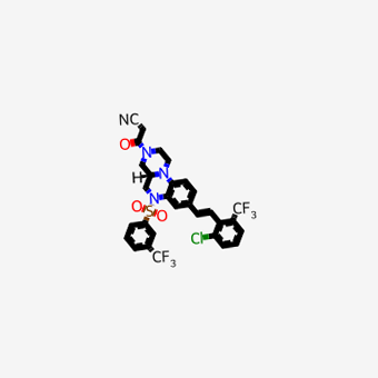 N#CCC(=O)N1CCN2c3ccc(/C=C/c4c(Cl)cccc4C(F)(F)F)cc3N(S(=O)(=O)c3cccc(C(F)(F)F)c3)C[C@@H]2C1